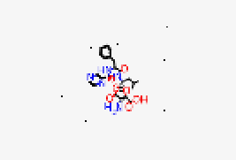 CC(C)CC(NC(=O)C(Cc1ccccc1)NC(=O)c1cnccn1)B1OC(=O)[C@@H](N)[C@H](C(=O)O)O1